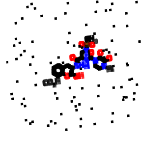 CCN1CCN(C(=O)NC(CNS(C)(=O)=O)C(=O)N[C@H]2Cc3cccc(C(=O)O)c3OB2O)C(=O)C1=O